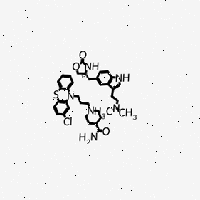 CN(C)CCc1c[nH]c2ccc(C[C@H]3COC(=O)N3)cc12.NC(=O)C1CCN(CCCN2c3ccccc3Sc3ccc(Cl)cc32)CC1